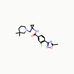 Cc1nc(-c2ccc(C(=O)NC3(CN4CCCC(C)(C)C4)CC3)cc2F)no1